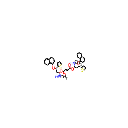 CNC(CC(Oc1cccc2ccccc12)c1cccs1)OC(=O)/C=C/C(=O)OC(CC(Oc1cccc2ccccc12)c1cccs1)NC